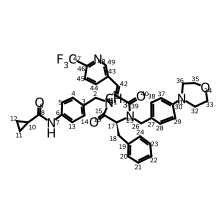 CN(Cc1ccc(NC(=O)C2CC2)cc1)C(=O)[C@H](Cc1ccccc1)N(Cc1ccc(N2CCOCC2)cc1)C(=O)C=Cc1ccc(C(F)(F)F)nc1